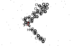 CCC(C)c1cc([N+](=O)[O-])cc([N+](=O)[O-])c1OC(=O)C=C(C)C.CNC(=O)Oc1cccc2c1OC(C)(C)C2.CNC(=O)Oc1cccc2c1OC(C)(C)O2.CNC(=O)Oc1cccc2ccccc12.Cc1cc(Cl)ccc1NC(=S)N(C)C.Clc1ccccc1-c1nnc(-c2ccccc2Cl)nn1.O=C(NC(=O)c1c(F)cccc1F)Nc1ccc(Cl)cc1.[OH][Sn]([CH]1CCCCC1)([CH]1CCCCC1)[CH]1CCCCC1